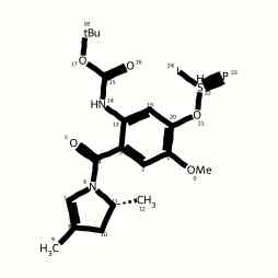 COc1cc(C(=O)N2C=C(C)C[C@H]2C)c(NC(=O)OC(C)(C)C)cc1O[SH](#P)I